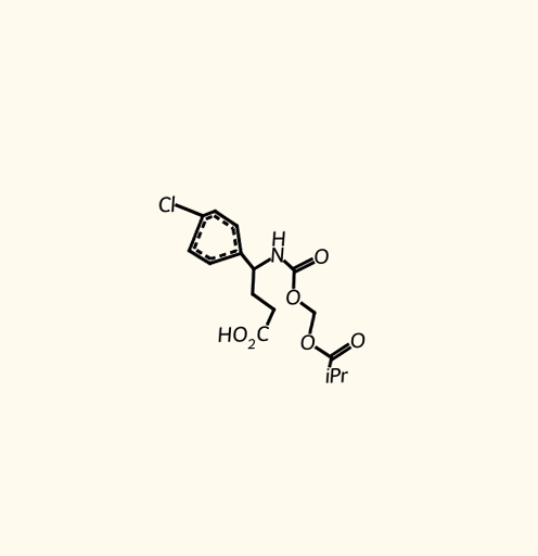 CC(C)C(=O)OCOC(=O)NC(CCC(=O)O)c1ccc(Cl)cc1